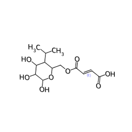 CC(C)C1C(COC(=O)/C=C/C(=O)O)OC(O)C(O)C1O